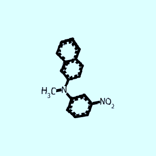 CN(c1cccc([N+](=O)[O-])c1)c1ccc2ccccc2c1